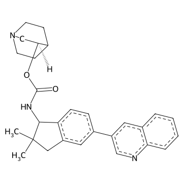 CC1(C)Cc2cc(-c3cnc4ccccc4c3)ccc2C1NC(=O)O[C@H]1CN2CCC1CC2